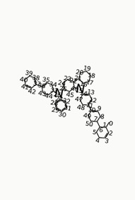 CC1C=CCCC1C1CC=C(C2=CC=C(N3C4CCCCC4C4CC=C(N(c5ccccc5)C5CC=C(C6=CCCC=C6)CC5)CC43)CC2)CC1